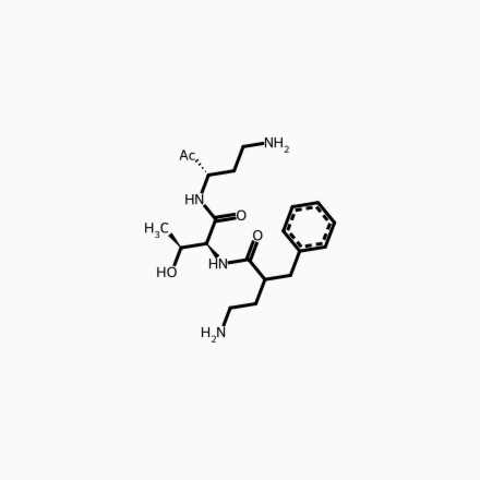 CC(=O)[C@H](CCN)NC(=O)[C@@H](NC(=O)C(CCN)Cc1ccccc1)[C@H](C)O